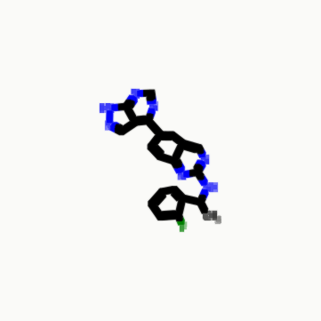 CC(Nc1ncc2cc(-c3ncnc4[nH]ncc34)ccc2n1)c1ccccc1F